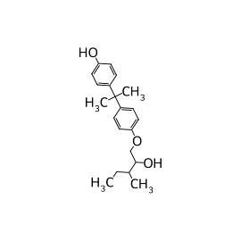 CCC(C)C(O)COc1ccc(C(C)(C)c2ccc(O)cc2)cc1